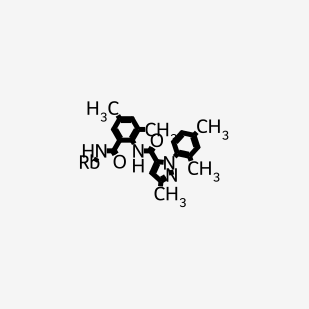 Cc1ccc(-n2nc(C)cc2C(=O)Nc2c(C)cc(C)cc2C(=O)[NH][Rb])c(C)c1